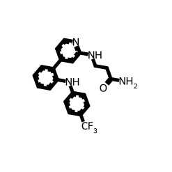 NC(=O)CCNc1cc(-c2ccccc2Nc2ccc(C(F)(F)F)cc2)ccn1